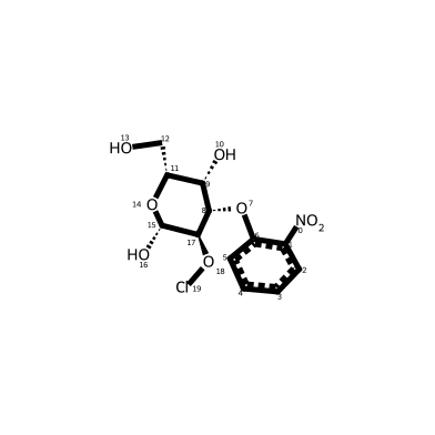 O=[N+]([O-])c1ccccc1O[C@H]1[C@@H](O)[C@@H](CO)O[C@@H](O)[C@@H]1OCl